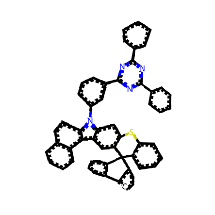 c1ccc(-c2nc(-c3ccccc3)nc(-c3cccc(-n4c5cc6c(cc5c5c7ccccc7ccc54)C4(c5ccccc5S6)c5ccccc5-c5ccccc54)c3)n2)cc1